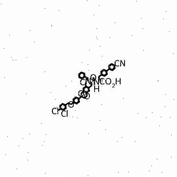 N#Cc1ccc(-c2ccc(C[C@H](NC(=O)[C@@H]3Cc4cc5c(cc4CN3Cc3ccccc3Cl)OC(c3ccc(OCc4ccc(Cl)c(Cl)c4)cc3)CO5)C(=O)O)cc2)cc1